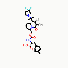 CCC(CC(C)(C)N1CCC(F)(F)C1)C(C#N)C(=O)N1CCCC[C@@H]1COC(=O)N[C@@H](Cc1ccc(C)cc1)B(O)O